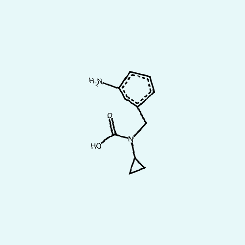 Nc1cccc(CN(C(=O)O)C2CC2)c1